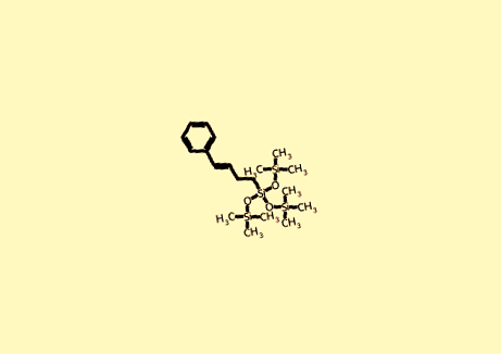 C[Si](C)(C)O[Si](CCC=Cc1ccccc1)(O[Si](C)(C)C)O[Si](C)(C)C